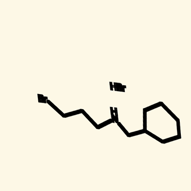 Br.BrCCCNCC1CCCCC1